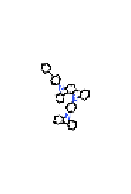 c1ccc(-c2ccc(-n3c4ccccc4c4c3ccc3c5ccccc5n(-c5ccc(-n6c7ccccc7c7ccccc76)cc5)c34)cc2)cc1